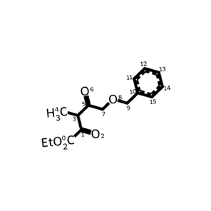 CCOC(=O)C(=O)C(C)C(=O)COCc1ccccc1